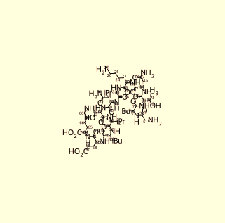 CC[C@H](C)[C@H](NC(=O)CN)C(=O)N[C@H](C(=O)N[C@@H](CC(N)=O)C(=O)N[C@@H](CCCCN)C(=O)N[C@H](C(=O)N[C@@H](CC(N)=O)C(=O)N[C@@H](CO)C(=O)N[C@H](C(=O)N[C@H](C(=O)N[C@@H](CCC(=O)O)C(=O)N[C@@H](CCCCN)C(=O)O)[C@@H](C)CC)C(C)C)C(C)C)[C@@H](C)O